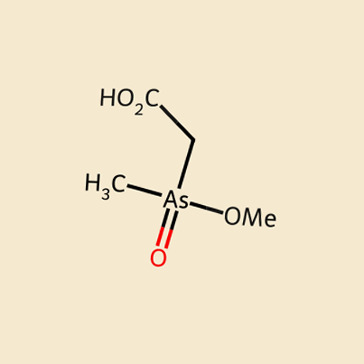 CO[As](C)(=O)CC(=O)O